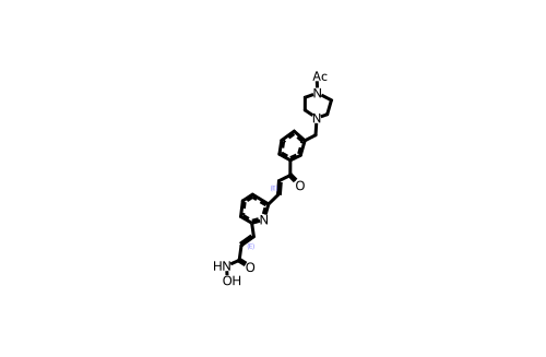 CC(=O)N1CCN(Cc2cccc(C(=O)/C=C/c3cccc(/C=C/C(=O)NO)n3)c2)CC1